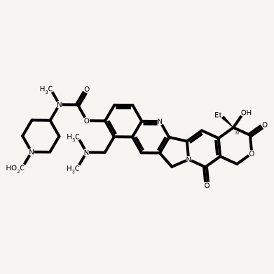 CC[C@@]1(O)C(=O)OCc2c1cc1n(c2=O)Cc2cc3c(CN(C)C)c(OC(=O)N(C)C4CCN(C(=O)O)CC4)ccc3nc2-1